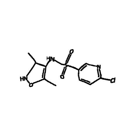 CC1=C(NS(=O)(=O)c2ccc(Cl)nc2)C(C)NO1